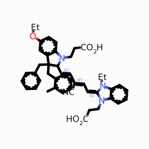 CCOc1ccc2c(c1)C(Cc1ccccc1)(Cc1ccccc1C)C(/C=C/C(C#N)=C/C=C1\N(CC)c3ccccc3N1CCC(=O)O)N2CCC(=O)O